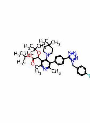 Cc1nc(C)c(C(OC(C)(C)C)C(=O)OC(C)C)c(N2CCC(C)(C)CC2)c1-c1ccc(-c2nnnn2Cc2ccc(F)cc2)cc1